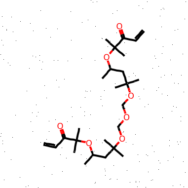 C=CC(=O)C(C)(C)OC(C)CC(C)(C)OCOCOC(C)(C)CC(C)OC(C)(C)C(=O)C=C